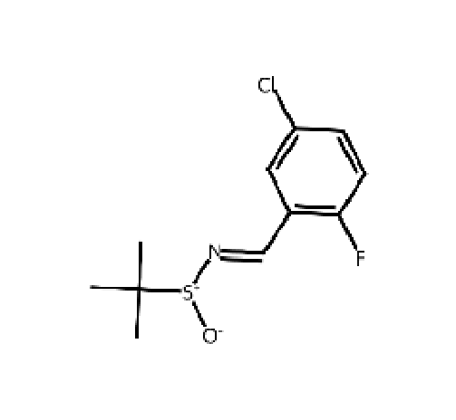 CC(C)(C)[S+]([O-])N=Cc1cc(Cl)ccc1F